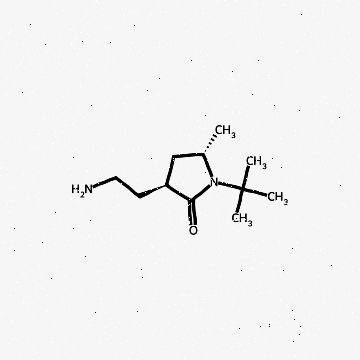 C[C@H]1C[C@H](CCN)C(=O)N1C(C)(C)C